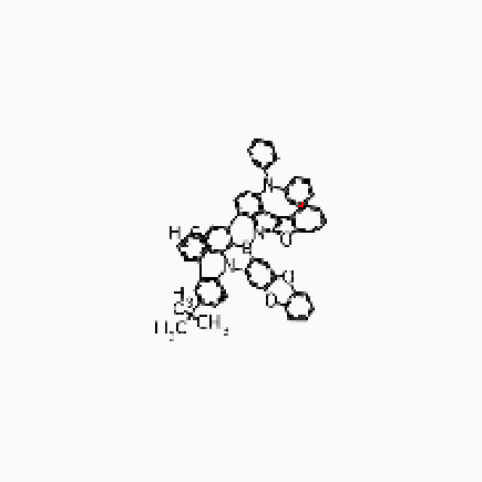 Cc1cc2c3c(c1)N(c1ccc(C(C)(C)C)cc1-c1ccccc1)c1cc4c(cc1B3n1c3oc5ccccc5c3c3c(N(c5ccccc5)c5ccccc5)ccc-2c31)Oc1ccccc1O4